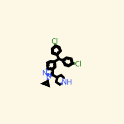 Clc1ccc(C(c2ccc(Cl)cc2)c2ccc3nn(C4CC4)c(C4CCNCC4)c3c2)cc1